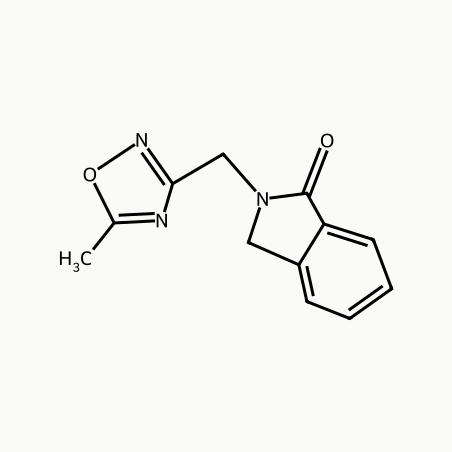 Cc1nc(CN2Cc3ccccc3C2=O)no1